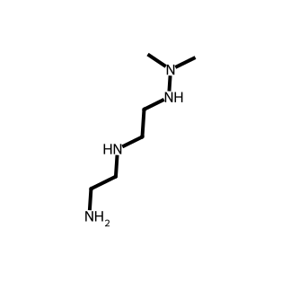 CN(C)NCCNCCN